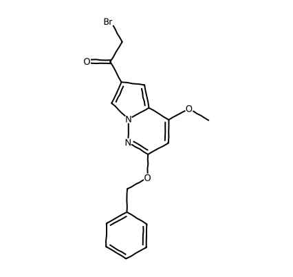 COc1cc(OCc2ccccc2)nn2cc(C(=O)CBr)cc12